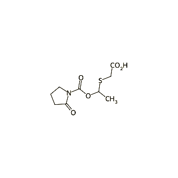 CC(OC(=O)N1CCCC1=O)SCC(=O)O